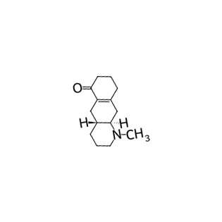 CN1CCC[C@@H]2CC3=C(CCCC3=O)C[C@H]21